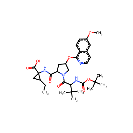 CCC1CC1(NC(=O)C1CC(Oc2nccc3cc(OC)ccc23)CN1C(=O)C(NC(=O)OC(C)(C)C)C(C)(C)C)C(=O)O